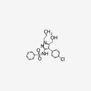 C=CCn1nc(NS(=O)(=O)c2ccccc2)c(-c2ccc(Cl)cc2)c1CO